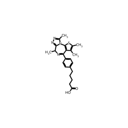 Cc1sc2c(c1C)C(c1ccc(CCCCC(=O)O)cc1)=NC(C)c1nnc(C)n1-2